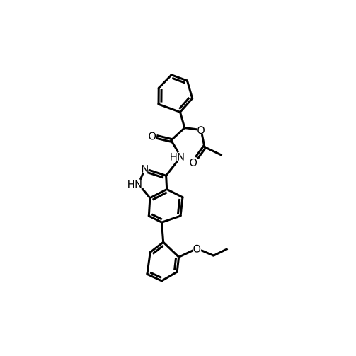 CCOc1ccccc1-c1ccc2c(NC(=O)C(OC(C)=O)c3ccccc3)n[nH]c2c1